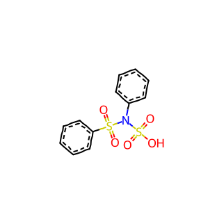 O=S(=O)(O)N(c1ccccc1)S(=O)(=O)c1ccccc1